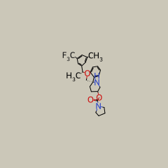 Cc1cc([C@@H](C)OC[C@@]2(c3ccccc3)CCC(OC(=O)N3CCCC3)CN2)cc(C(F)(F)F)c1